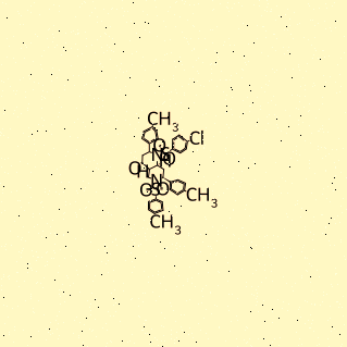 Cc1ccc(C2CC(=O)[C@@H]3CN(S(=O)(=O)c4ccc(C)cc4)[C@H](c4ccc(C)cc4)C[C@@H]3N2S(=O)(=O)c2ccc(Cl)cc2)cc1